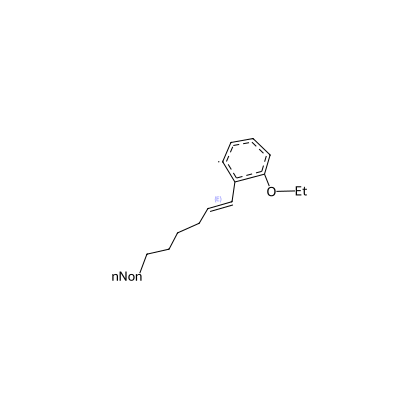 CCCCCCCCCCCCC/C=C/c1[c]cccc1OCC